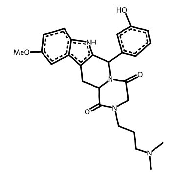 COc1ccc2[nH]c3c(c2c1)CC1C(=O)N(CCCN(C)C)CC(=O)N1C3c1cccc(O)c1